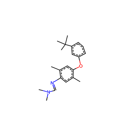 Cc1cc(Oc2cccc(C(C)(C)C)c2)c(C)cc1N=CN(C)C